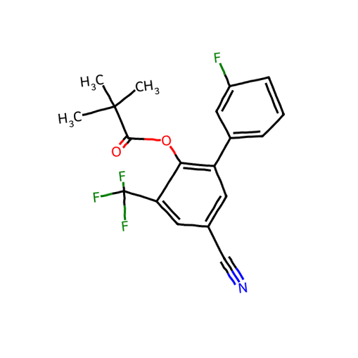 CC(C)(C)C(=O)Oc1c(-c2cccc(F)c2)cc(C#N)cc1C(F)(F)F